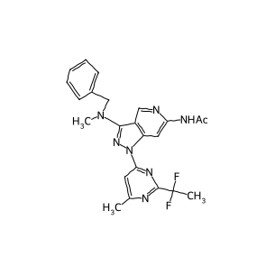 CC(=O)Nc1cc2c(cn1)c(N(C)Cc1ccccc1)nn2-c1cc(C)nc(C(C)(F)F)n1